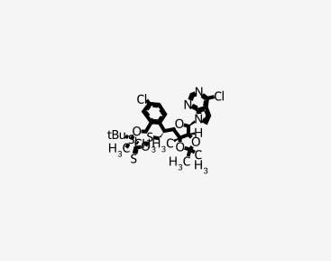 CC1(C)O[C@H]2[C@H](n3ccc4c(Cl)ncnc43)O[C@H]([C@H](CSOC=S)c3ccc(Cl)cc3CO[Si](C)(C)C(C)(C)C)[C@@]2(C)O1